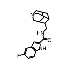 O=C(NCC1C2CC3CC1CN(C3)C2)c1cc2cc(F)ccc2[nH]1